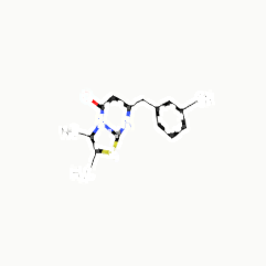 Cc1sc2nc(Cc3cccc(C#N)c3)cc(=O)n2c1C#N